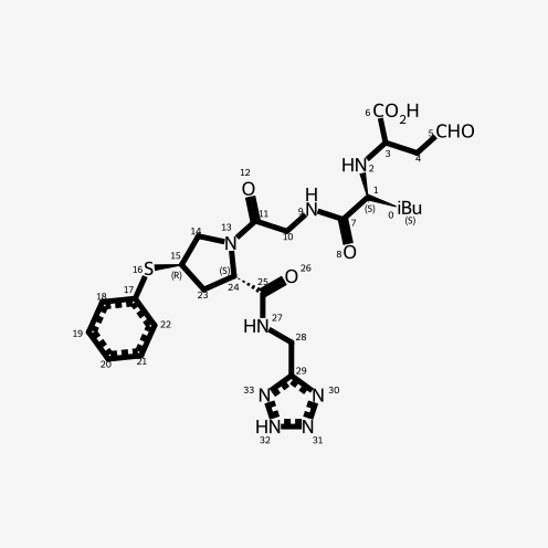 CC[C@H](C)[C@H](NC(CC=O)C(=O)O)C(=O)NCC(=O)N1C[C@H](Sc2ccccc2)C[C@H]1C(=O)NCc1nn[nH]n1